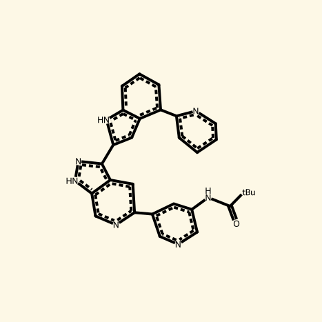 CC(C)(C)C(=O)Nc1cncc(-c2cc3c(-c4cc5c(-c6ccccn6)cccc5[nH]4)n[nH]c3cn2)c1